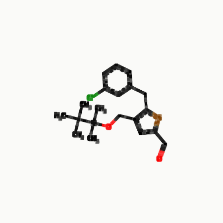 CC(C)(C)[Si](C)(C)OCc1cc(C=O)sc1Cc1cccc(Cl)c1